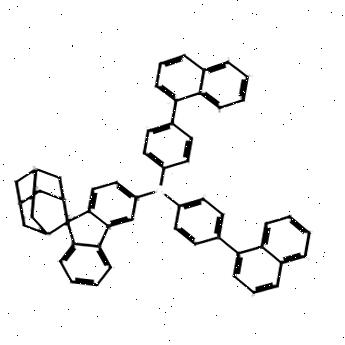 c1ccc2c(c1)-c1cc(N(c3ccc(-c4cccc5ccccc45)cc3)c3ccc(-c4cccc5ccccc45)cc3)ccc1C21C2CC3CC(C2)CC1C3